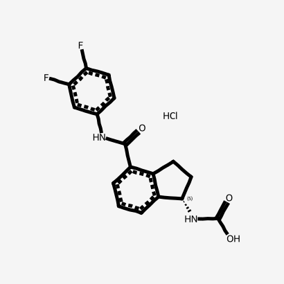 Cl.O=C(O)N[C@H]1CCc2c(C(=O)Nc3ccc(F)c(F)c3)cccc21